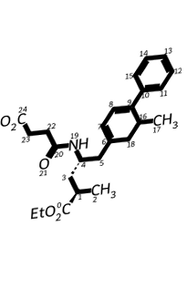 CCOC(=O)[C@H](C)C[C@@H](CC1=CC=C(c2ccccc2)C(C)C1)NC(=O)CCC(=O)O